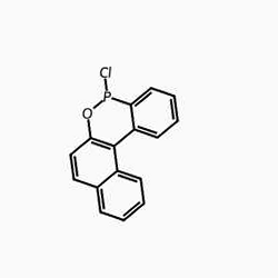 ClP1Oc2ccc3ccccc3c2-c2ccccc21